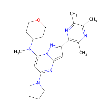 Cc1nc(C)c(-c2cc3nc(N4CCCC4)cc(N(C)C4CCOCC4)n3n2)nc1C